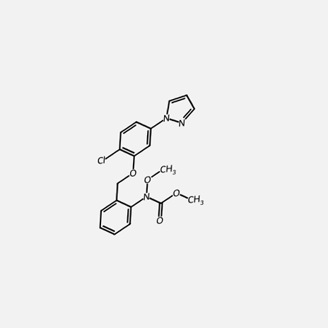 COC(=O)N(OC)c1ccccc1COc1cc(-n2cccn2)ccc1Cl